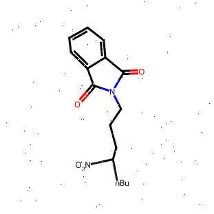 CCCCC(CCCN1C(=O)c2ccccc2C1=O)[N+](=O)[O-]